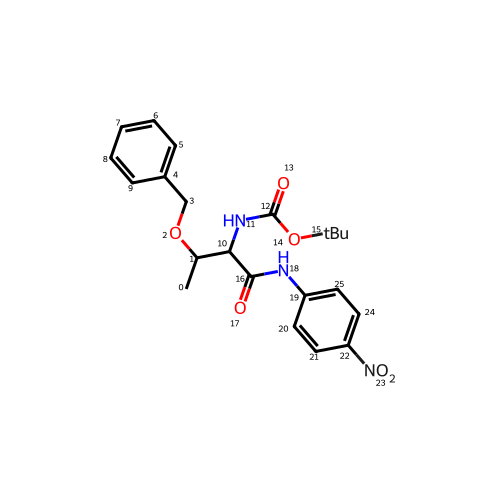 CC(OCc1ccccc1)C(NC(=O)OC(C)(C)C)C(=O)Nc1ccc([N+](=O)[O-])cc1